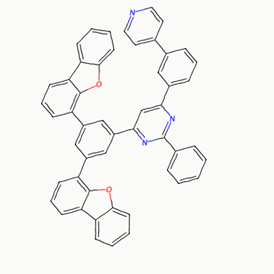 c1ccc(-c2nc(-c3cccc(-c4ccncc4)c3)cc(-c3cc(-c4cccc5c4oc4ccccc45)cc(-c4cccc5c4oc4ccccc45)c3)n2)cc1